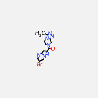 Cc1nnc2n1CCN(C(=O)c1cc3ncc(Br)cn3n1)C2